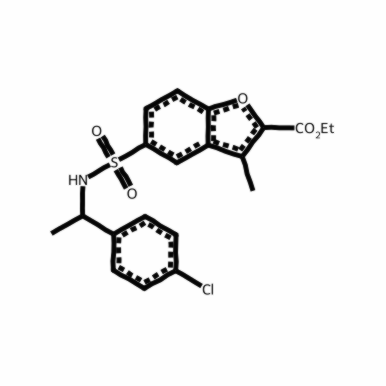 CCOC(=O)c1oc2ccc(S(=O)(=O)NC(C)c3ccc(Cl)cc3)cc2c1C